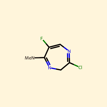 CNC1=NCC(Cl)=NC=C1F